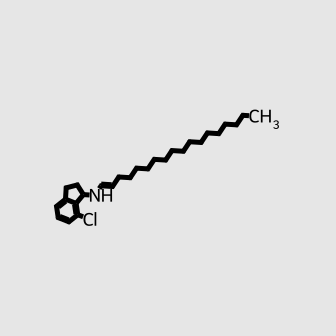 CCCCCCCCCCCCCCCCC=CNC1CCc2cccc(Cl)c21